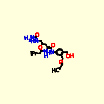 C#CCOCc1cc(NC(=O)[C@H](CCCNC(N)=O)NC(=O)CC(C)C)ccc1CO